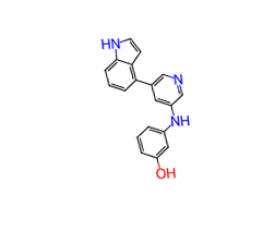 Oc1cccc(Nc2cncc(-c3cccc4[nH]ccc34)c2)c1